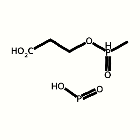 C[PH](=O)OCCC(=O)O.O=PO